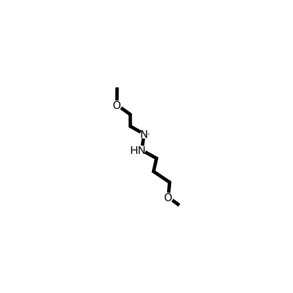 COCCCN[N]CCOC